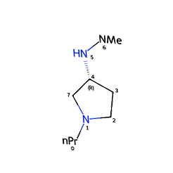 CCCN1CC[C@@H](NNC)C1